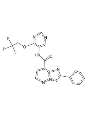 O=C(Nc1cncnc1OCC(F)(F)F)c1ccnn2cc(-c3ccccc3)nc12